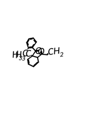 C=CC(=O)C1C=CC=CC1(C)C(=O)c1ccccc1C